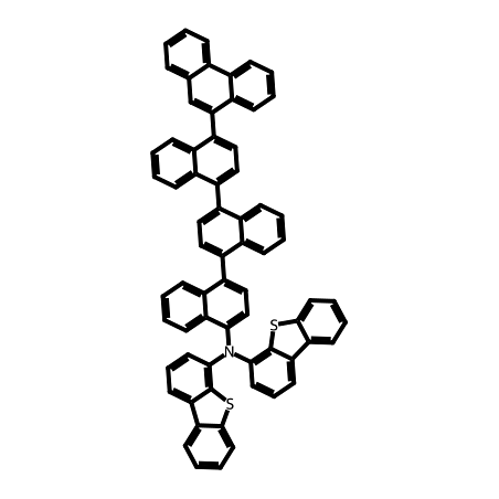 c1ccc2c(c1)cc(-c1ccc(-c3ccc(-c4ccc(N(c5cccc6c5sc5ccccc56)c5cccc6c5sc5ccccc56)c5ccccc45)c4ccccc34)c3ccccc13)c1ccccc12